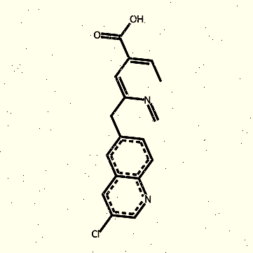 C=N/C(=C\C(=C/C)C(=O)O)Cc1ccc2ncc(Cl)cc2c1